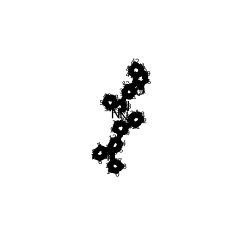 c1ccc(-n2c3ccccc3c3cc(-c4ccc5c(c4)c4ccccc4n5-c4nc(-c5ccc6c(c5)oc5ccc7ccccc7c56)c5ccccc5n4)ccc32)cc1